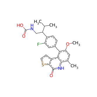 COc1cc(C)c2[nH]c(=O)c3sccc3c2c1-c1ccc(C(CNC(=O)O)C(C)C)c(F)c1